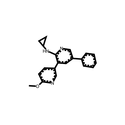 COc1ccc(-c2cc(-c3ccccc3)cnc2NC2CC2)cn1